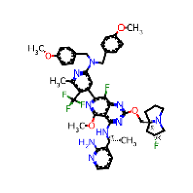 COc1ccc(CN(Cc2ccc(OC)cc2)c2cc(-c3nc(OC)c4c(N[C@H](C)c5cccnc5N)nc(OC[C@@]56CCCN5C[C@H](F)C6)nc4c3F)c(C(F)(F)F)c(C)n2)cc1